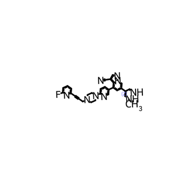 CN/C=C(\C=N)c1cc(-c2ccc(N3CCN(CC#Cc4cccc(F)n4)CC3)nc2)c2c(C#N)cnn2c1